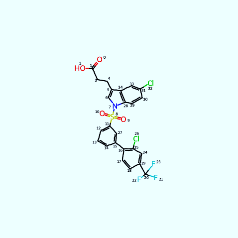 O=C(O)CCc1cn(S(=O)(=O)c2cccc(-c3ccc(C(F)(F)F)cc3Cl)c2)c2ccc(Cl)cc12